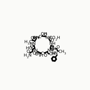 CC(NCc1ccccc1)C(=O)NCC1NC(=O)C(C(=O)O)NC(=O)C(O)CNC(=O)C(C(C)O)NC(=O)C(C(O)C(O)C(N)=O)NC(=O)C(C(C)C)CC(=O)C(CO)NC1=O